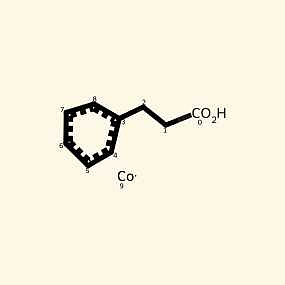 O=C(O)CCc1ccccc1.[Co]